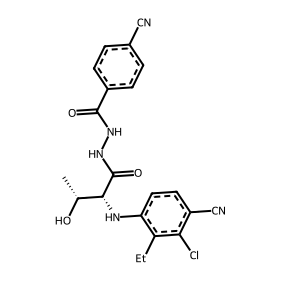 CCc1c(N[C@@H](C(=O)NNC(=O)c2ccc(C#N)cc2)[C@@H](C)O)ccc(C#N)c1Cl